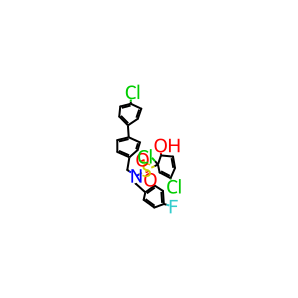 O=S(=O)(N(Cc1ccc(F)cc1)Cc1ccc(-c2ccc(Cl)cc2)cc1)C1(Cl)C=C(Cl)C=CC1O